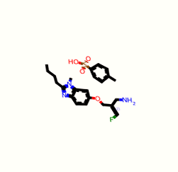 CCCCc1nc2ccc(OC/C(=C\F)CN)cc2n1C.Cc1ccc(S(=O)(=O)O)cc1